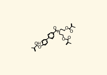 C=C(C)C(=O)OCCN(CCOC(=O)C(=C)C)C(=O)c1ccc(-c2ccc(OC(O)C(=C)C)cc2)cc1